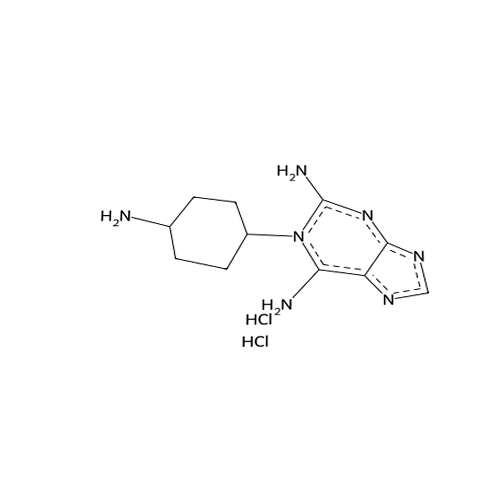 Cl.Cl.Nc1nc2ncnc-2c(N)n1C1CCC(N)CC1